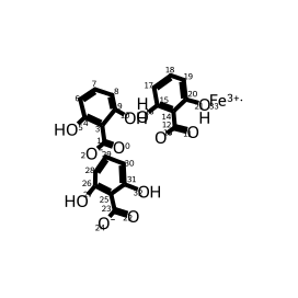 O=C([O-])c1c(O)cccc1O.O=C([O-])c1c(O)cccc1O.O=C([O-])c1c(O)cccc1O.[Fe+3]